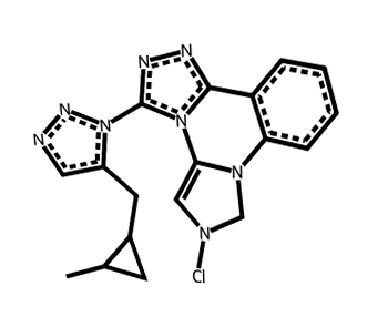 CC1CC1Cc1cnnn1-c1nnc2n1C1=CN(Cl)CN1c1ccccc1-2